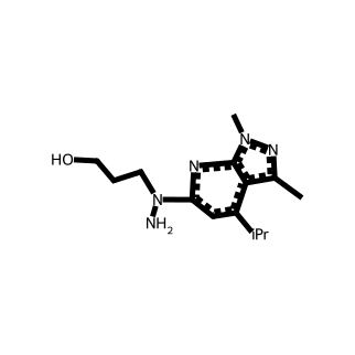 Cc1nn(C)c2nc(N(N)CCCO)cc(C(C)C)c12